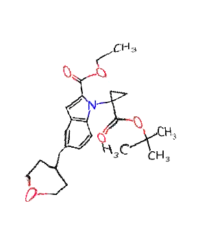 CCOC(=O)c1cc2cc(C3CCOCC3)ccc2n1C1(C(=O)OC(C)(C)C)CC1